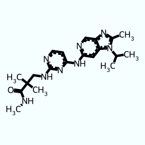 CNC(=O)C(C)(C)CNc1nccc(Nc2cc3c(cn2)nc(C)n3C(C)C)n1